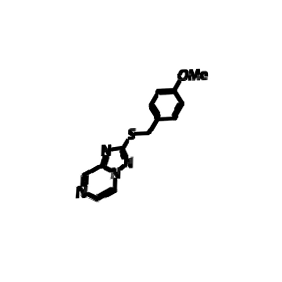 COc1ccc(CSc2nc3cnccn3n2)cc1